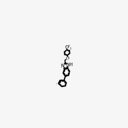 FC(F)(F)c1ccc(OCc2nc3cc(-c4c[c]ccc4)ccc3[nH]2)cc1